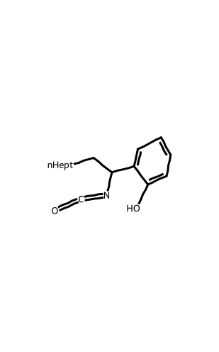 CCCCCCCCC(N=C=O)c1ccccc1O